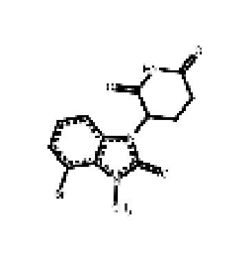 Cn1c(=O)n(C2CCC(=O)NC2=O)c2cccc(Br)c21